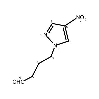 O=CCCCn1cc([N+](=O)[O-])cn1